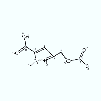 Cn1nc(CO[N+](=O)[O-])cc1C(=O)O